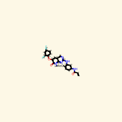 C=CC(=O)Nc1ccc(OC)c(Nc2ncc3cc(Oc4ccc(F)cc4F)c(=O)n(C)c3n2)c1